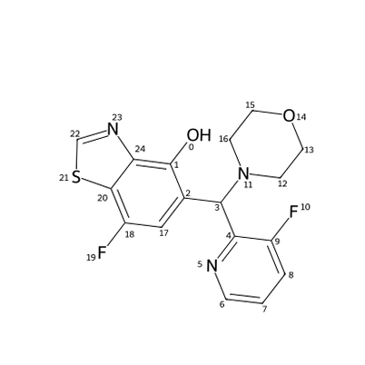 Oc1c(C(c2ncccc2F)N2CCOCC2)cc(F)c2scnc12